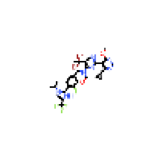 COc1ncnc(C2CC2)c1-c1ncc(C(C)(Br)Br)c(N(C=O)Cc2ccc(C3NC(C(F)(F)F)=CN3C(C)C)c(F)c2)n1